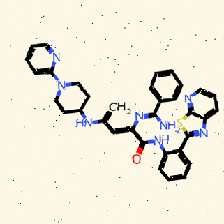 C=C(/C=C(\N=C(/N)c1ccccc1)C(=O)Nc1ccccc1-c1nc2cccnc2s1)NC1CCN(c2ccccn2)CC1